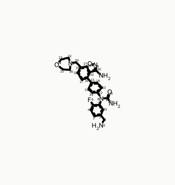 NCc1ccc(F)c(N(C(N)=O)c2ccc(-c3ccc(CN4CCOCC4)c4onc(N)c34)cc2)c1